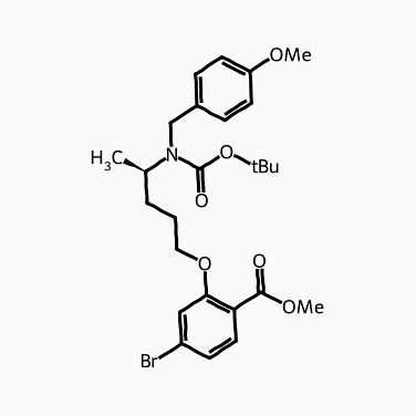 COC(=O)c1ccc(Br)cc1OCCC[C@@H](C)N(Cc1ccc(OC)cc1)C(=O)OC(C)(C)C